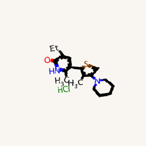 CCc1cc(-c2scc(N3CCCCC3)c2C)c(C)[nH]c1=O.Cl